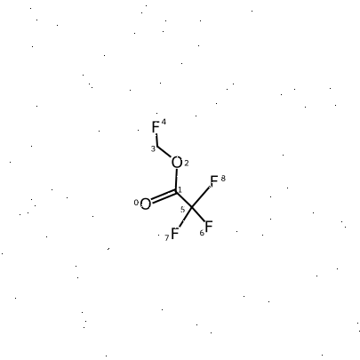 O=C(OCF)C(F)(F)F